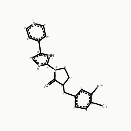 O=C1C(Cc2ccc(Cl)c(F)c2)CCN1c1nnc(-c2ccncc2)[nH]1